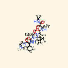 CCC[C@H](NC(=O)[C@@H]1C[C@@]2(CN1C(=O)[C@@H](NC(=O)N[C@H](C(=O)N1CCN(C)CC1)C1CCCCC1)C(C)(C)C)C(C)(C)C21CCC1)C(=O)C(=O)NC1CC1